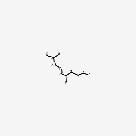 CCCCC(C)/C=N/OC(C)C